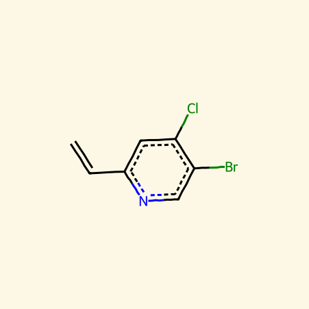 C=Cc1cc(Cl)c(Br)cn1